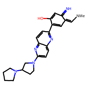 CN/C=C1/C=C(c2ccc3nc(N4CCC(N5CCCC5)C4)ccc3n2)C(O)=CC1=N